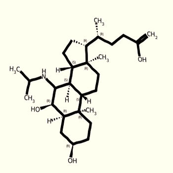 C=C(O)CC[C@@H](C)[C@H]1CC[C@H]2[C@@H]3C(NC(C)C)[C@H](O)[C@@H]4C[C@H](O)CC[C@]4(C)[C@H]3CC[C@]12C